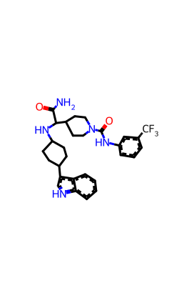 NC(=O)C(NC1CCC(c2c[nH]c3ccccc23)CC1)C1CCN(C(=O)Nc2cccc(C(F)(F)F)c2)CC1